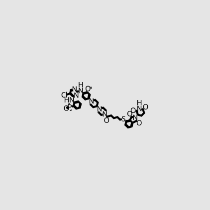 COc1cc(N2CCC(N3CCN(C(=O)CCCCSc4cccc5c4C(=O)N(C4CCC(=O)NC4=O)C5=O)CC3)CC2)ccc1Nc1ncc(Cl)c(Nc2ccccc2P(C)(C)=O)n1